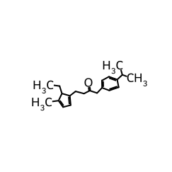 CCC1C(C)=CC=C1CCC(=O)Cc1ccc(C(C)C)cc1